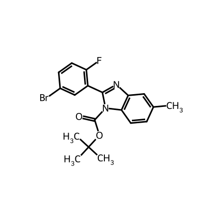 Cc1ccc2c(c1)nc(-c1cc(Br)ccc1F)n2C(=O)OC(C)(C)C